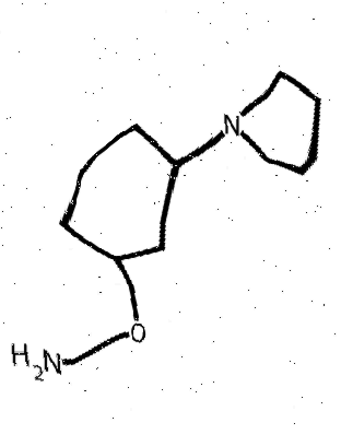 NOC1CCCC(N2CCC2)C1